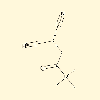 CC(C)(C)C(=O)CC(C#N)C#N